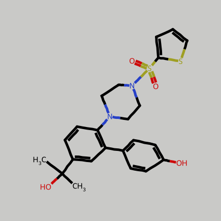 CC(C)(O)c1ccc(N2CCN(S(=O)(=O)c3cccs3)CC2)c(-c2ccc(O)cc2)c1